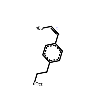 CCCC/C=[C]\c1ccc(CCCCCCCCCC)cc1